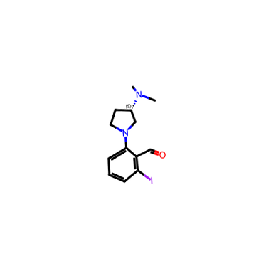 CN(C)[C@H]1CCN(c2cccc(I)c2C=O)C1